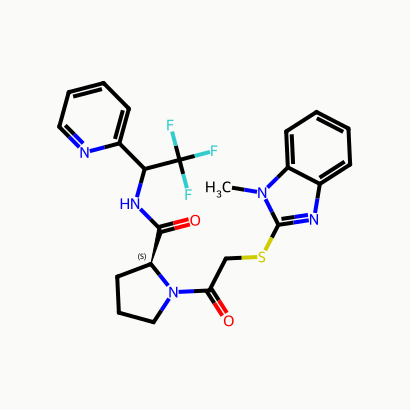 Cn1c(SCC(=O)N2CCC[C@H]2C(=O)NC(c2ccccn2)C(F)(F)F)nc2ccccc21